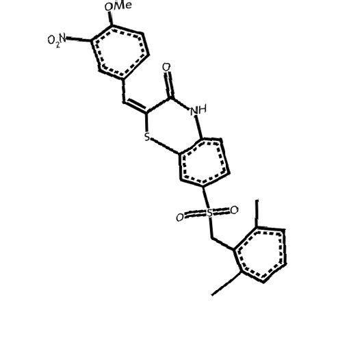 COc1ccc(/C=C2/Sc3cc(S(=O)(=O)Cc4c(C)cccc4C)ccc3NC2=O)cc1[N+](=O)[O-]